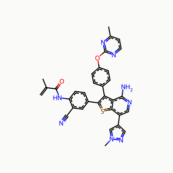 C=C(C)C(=O)Nc1ccc(-c2sc3c(-c4cnn(C)c4)cnc(N)c3c2-c2ccc(Oc3nccc(C)n3)cc2)cc1C#N